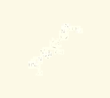 Cc1ncn2cc(-c3ccc(-c4cnc(N5CCN[C@@H](C6CC6)C5)nn4)c(O)c3)ccc12